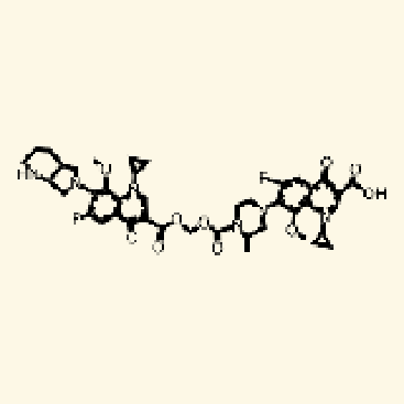 COc1c(N2CCN(C(=O)OCOC(=O)c3cn(C4CC4)c4c(OC)c(N5CC6CCCNC6C5)c(F)cc4c3=O)C(C)C2)c(F)cc2c(=O)c(C(=O)O)cn(C3CC3)c12